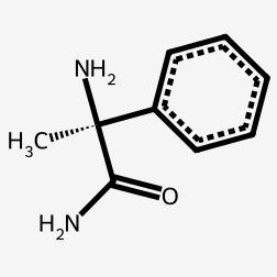 C[C@@](N)(C(N)=O)c1ccccc1